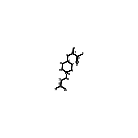 CC(=O)N(C)CC1CCN(CCN(C)C)CC1